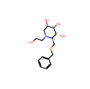 OCCN1C[C@@H](O)[C@@H](O)[C@H](O)[C@H]1COCc1ccccc1